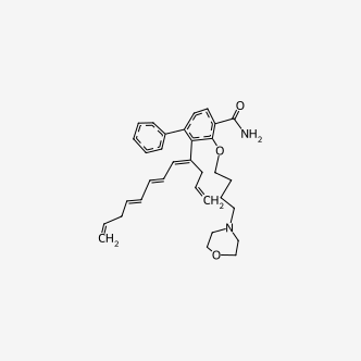 C=CCC=CC=CC=C(CC=C)c1c(-c2ccccc2)ccc(C(N)=O)c1OCCCCN1CCOCC1